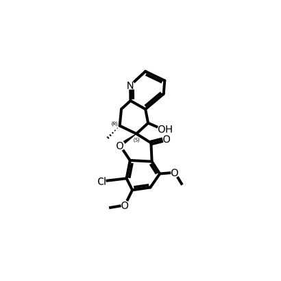 COc1cc(OC)c2c(c1Cl)O[C@]1(C2=O)C(O)c2cccnc2C[C@H]1C